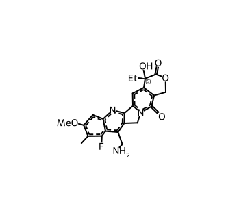 CC[C@@]1(O)C(=O)OCc2c1cc1n(c2=O)Cc2c-1nc1cc(OC)c(C)c(F)c1c2CN